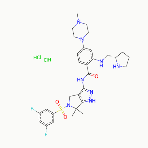 CN1CCN(c2ccc(C(=O)Nc3n[nH]c4c3CN(S(=O)(=O)c3cc(F)cc(F)c3)C4(C)C)c(NC[C@@H]3CCCN3)c2)CC1.Cl.Cl